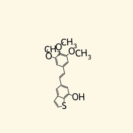 COc1cc(C=Cc2cc(O)c3sccc3c2)cc(OC)c1OC